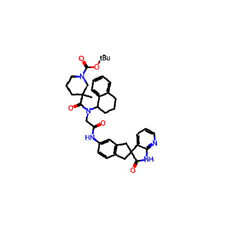 CC(C)(C)OC(=O)N1CCCC(C)(C(=O)N(CC(=O)Nc2ccc3c(c2)CC2(C3)C(=O)Nc3ncccc32)C2CCCc3ccccc32)C1